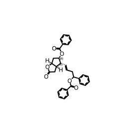 O=C1C[C@@H]2[C@@H](C=CCC(OC(=O)c3ccccc3)c3ccccc3)[C@H](OC(=O)c3ccccc3)C[C@@H]2O1